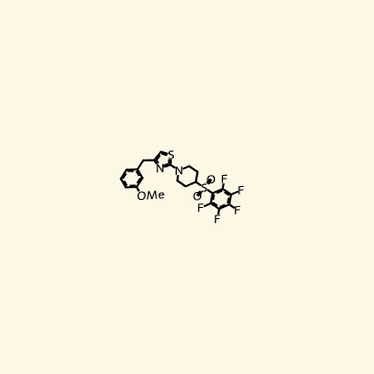 COc1cccc(Cc2csc(N3CCC(S(=O)(=O)c4c(F)c(F)c(F)c(F)c4F)CC3)n2)c1